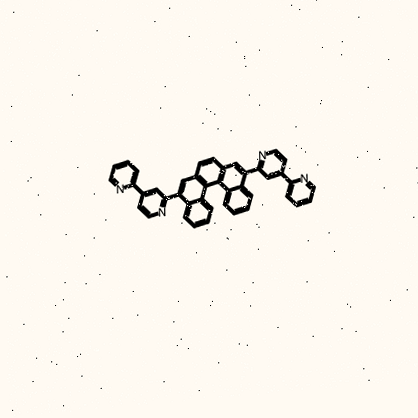 c1ccc(-c2ccnc(-c3cc4ccc5cc(-c6cc(-c7ccccn7)ccn6)c6ccccc6c5c4c4ccccc34)c2)nc1